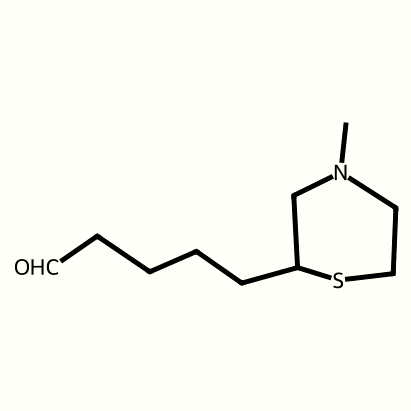 CN1CCSC(CCCCC=O)C1